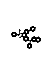 c1ccc(-c2ccc3c4c(c5ccc(N(c6ccccc6)c6ccc7ccccc7c6)cc5c3c2)OC(c2ccccc2)N4)cc1